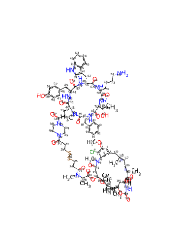 COc1cc2cc(c1Cl)N(C)C(=O)CC1(OC(=O)[C@H](C)N(C)C(=O)CCSSCCC(=O)N3CCN(C(=O)CC[C@H]4C(=O)N[C@@H](Cc5ccc(O)cc5)C(=O)N[C@H](Cc5c[nH]c6ccccc56)C(=O)N[C@@H](CCCCN)C(=O)N[C@@H]([C@@H](C)O)C(=O)N[C@@H](Cc5ccccc5)C(=O)N4C)CC3)O[C@@H]([C@H](C)[C@@H]3C[C@@](O)(NC(=O)O3)[C@H](OC)/C=C/C=C(\C)C2)[C@@H]1C